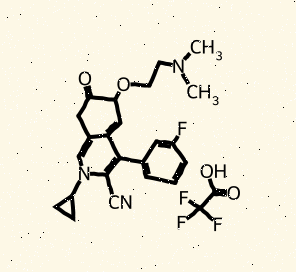 CN(C)CCOC1C=C2C(=CN(C3CC3)C(C#N)=C2c2cccc(F)c2)CC1=O.O=C(O)C(F)(F)F